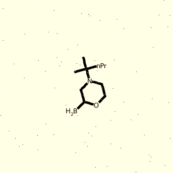 BC1CN(C(C)(C)CCC)CCO1